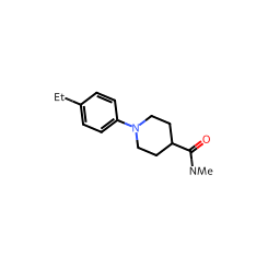 CCc1ccc(N2CCC(C(=O)NC)CC2)cc1